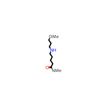 CNC(=O)CCCCNCCCOC